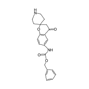 O=C(Nc1ccc2c(c1)C(=O)CC1(CCNCC1)O2)OCc1ccccc1